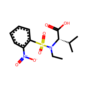 CCN([C@H](C(=O)O)C(C)C)S(=O)(=O)c1ccccc1[N+](=O)[O-]